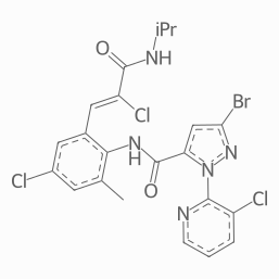 Cc1cc(Cl)cc(C=C(Cl)C(=O)NC(C)C)c1NC(=O)c1cc(Br)nn1-c1ncccc1Cl